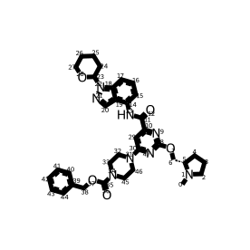 CN1CCC[C@H]1COc1nc(C(=O)Nc2cccc3c2cnn3C2CCCCO2)cc(N2CCN(C(=O)OCc3ccccc3)CC2)n1